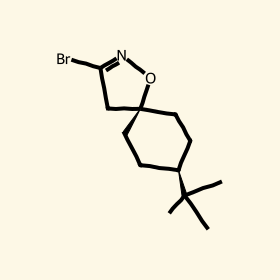 CC(C)(C)[C@H]1CC[C@@]2(CC1)CC(Br)=NO2